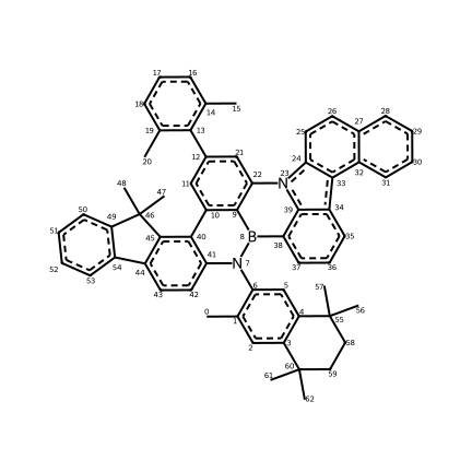 Cc1cc2c(cc1N1B3c4c(cc(-c5c(C)cccc5C)cc4-n4c5ccc6ccccc6c5c5cccc3c54)-c3c1ccc1c3C(C)(C)c3ccccc3-1)C(C)(C)CCC2(C)C